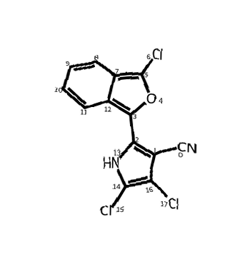 N#Cc1c(-c2oc(Cl)c3ccccc23)[nH]c(Cl)c1Cl